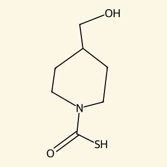 O=C(S)N1CCC(CO)CC1